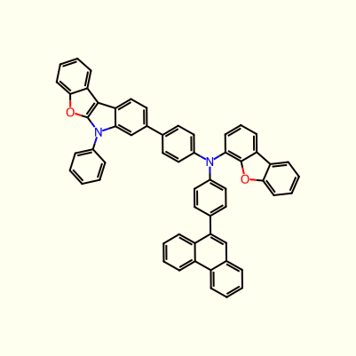 c1ccc(-n2c3cc(-c4ccc(N(c5ccc(-c6cc7ccccc7c7ccccc67)cc5)c5cccc6c5oc5ccccc56)cc4)ccc3c3c4ccccc4oc32)cc1